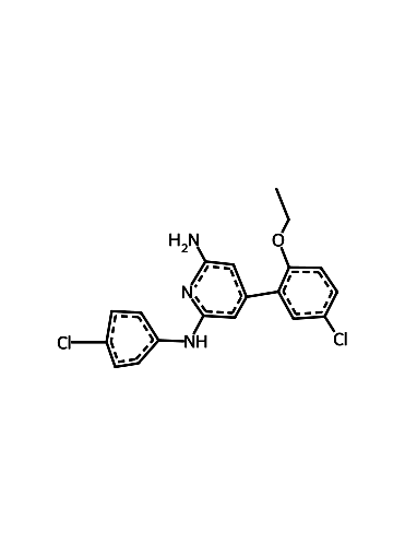 CCOc1ccc(Cl)cc1-c1cc(N)nc(Nc2ccc(Cl)cc2)c1